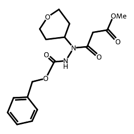 COC(=O)CC(=O)N(NC(=O)OCc1ccccc1)C1CCOCC1